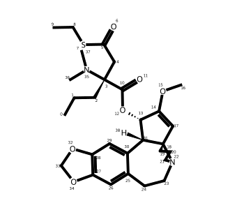 CCC[C@@](CC(=O)SCC)(C(=O)O[C@@H]1C(OC)=C[C@]23CCCN2CCc2cc4c(cc2[C@H]13)OCO4)N(C)C